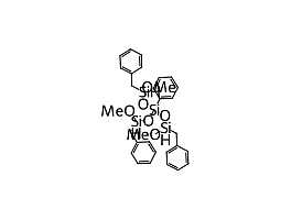 CO[SiH](Cc1ccccc1)O[Si](O[SiH](Cc1ccccc1)OC)(O[SiH](Cc1ccccc1)OC)c1ccccc1